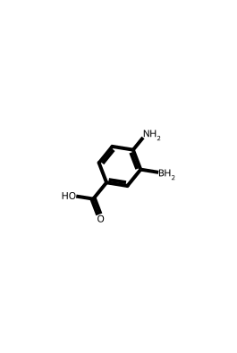 Bc1cc(C(=O)O)ccc1N